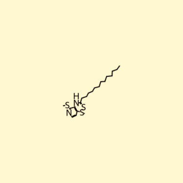 CCCCCCCCCCCCCC(=S)Nc1c(SC)ccnc1SC